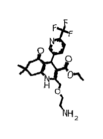 CCOC(=O)C1=C(COCCN)NC2=C(C(=O)CC(C)(C)C2)C1c1ccc(C(F)(F)F)nc1